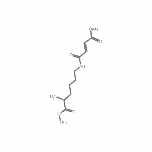 COC(=O)C=CC(=O)NCCCC[C@H](N)C(=O)OC(C)(C)C